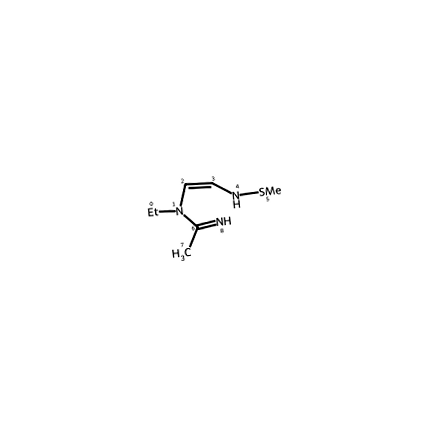 CCN(/C=C\NSC)C(C)=N